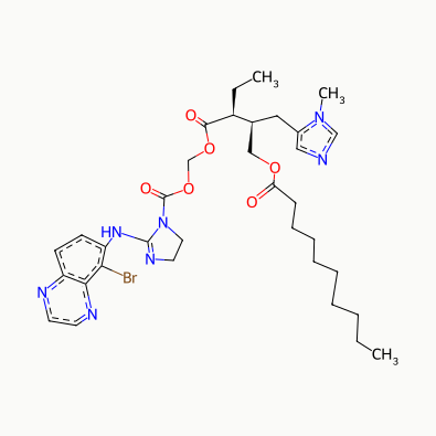 CCCCCCCCCC(=O)OC[C@H](Cc1cncn1C)[C@H](CC)C(=O)OCOC(=O)N1CCN=C1Nc1ccc2nccnc2c1Br